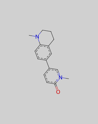 CN1CCCc2cc(-c3ccc(=O)n(C)c3)ccc21